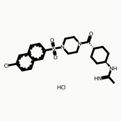 CC(=N)N[C@H]1CC[C@H](C(=O)N2CCN(S(=O)(=O)c3ccc4cc(Cl)ccc4c3)CC2)CC1.Cl